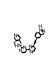 Fc1cnccc1CNc1nccc(-c2nccc(C#Cc3ccc4[nH]ncc4c3)n2)n1